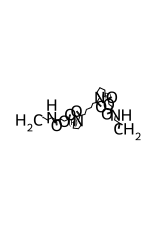 C=CCNC(=O)COC(=O)[C@H]1CCCN1C(=O)CCCCC(=O)N1CCC[C@@H]1C(=O)OCC(=O)NCC=C